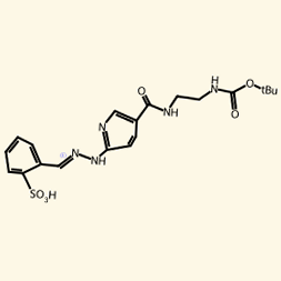 CC(C)(C)OC(=O)NCCNC(=O)c1ccc(N/N=C/c2ccccc2S(=O)(=O)O)nc1